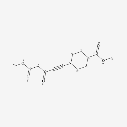 COC(=O)CC(=O)C#CC1CCC(C(=O)OC)CC1